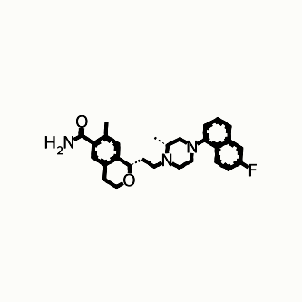 Cc1cc2c(cc1C(N)=O)CCO[C@H]2CCN1CCN(c2cccc3cc(F)ccc23)C[C@H]1C